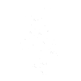 C=Cc1cccc(CSC[C@H](NC(=O)[C@@H](NC(=O)[C@@H]2CCCN2)C2CCCCC2)C(=O)N[C@@H](CCCNC(=N)N)C(=O)NC)c1